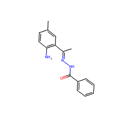 C/C(=N\NC(=O)c1ccccc1)c1cc(C)ccc1N